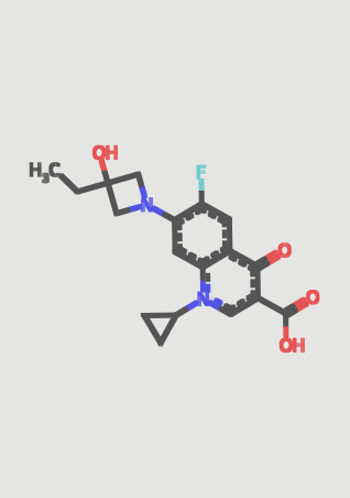 CCC1(O)CN(c2cc3c(cc2F)c(=O)c(C(=O)O)cn3C2CC2)C1